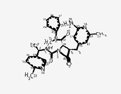 CC[C@@H](NC(=O)N1C(=O)[C@H](Cc2cc(C)nc(N)c2)[C@H]1C(=O)N(C)c1ccccc1)c1ccc(C)nc1